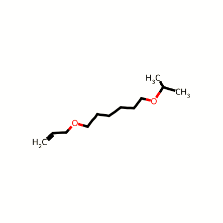 C=CCOCCCCCCOC(C)C